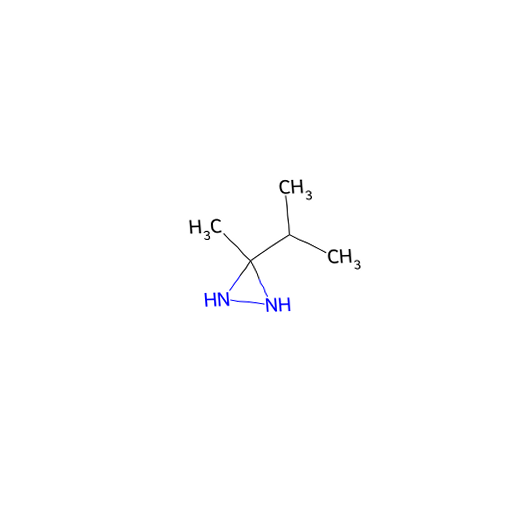 CC(C)C1(C)NN1